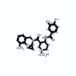 Cc1cccc(CN(C(=O)C2CN(C(=O)O)CCC2NC(=O)c2ccc(F)c(F)c2)C2CC2)c1C